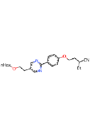 CCCCCCOCCc1cnc(-c2ccc(OCCC(C#N)CC)cc2)nc1